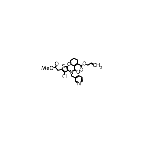 C=CCOC(=O)C1=C(C(=O)N(Cc2cccnc2)c2c(Cl)sc(CC(=O)OC)c2Cl)CCCC1